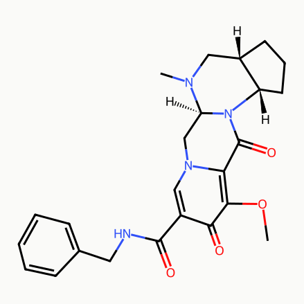 COc1c2n(cc(C(=O)NCc3ccccc3)c1=O)C[C@H]1N(C)C[C@@H]3CCC[C@@H]3N1C2=O